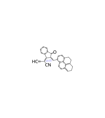 C#C/C(C#N)=C1/C(=C/c2ccc3c4c5c(ccc24)=CCCC=5CC3)C(=O)c2ccccc21